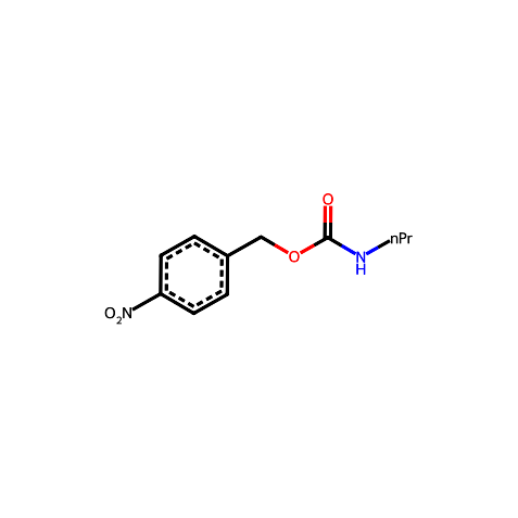 [CH2]CCNC(=O)OCc1ccc([N+](=O)[O-])cc1